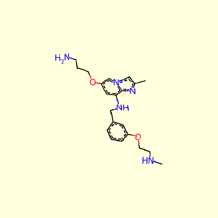 CNCCOc1cccc(CNc2cc(OCCCN)cn3cc(C)nc23)c1